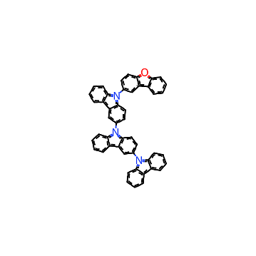 c1ccc2c(c1)oc1ccc(-n3c4ccccc4c4cc(-n5c6ccccc6c6cc(-n7c8ccccc8c8ccccc87)ccc65)ccc43)cc12